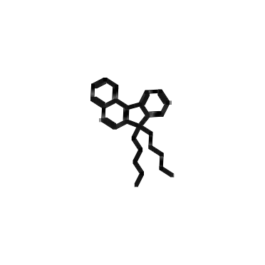 CCCCCC1(CCCCC)c2c[c]ccc2-c2c1c[c]c1ccccc21